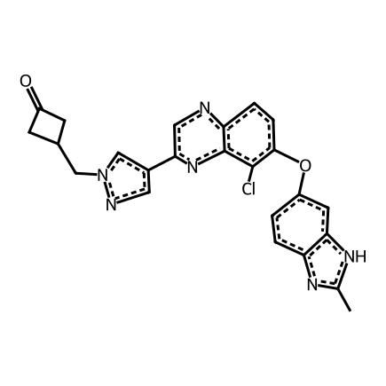 Cc1nc2ccc(Oc3ccc4ncc(-c5cnn(CC6CC(=O)C6)c5)nc4c3Cl)cc2[nH]1